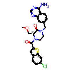 COC[C@H]1C(=O)N(Cc2ccc3c(N)ncnc3c2)CCN1C(=O)c1cc2ccc(Cl)cc2s1